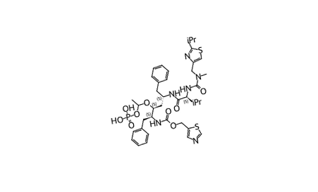 CC(O[C@@H](C[C@H](Cc1ccccc1)NC(=O)[C@@H](NC(=O)N(C)Cc1csc(C(C)C)n1)C(C)C)[C@H](Cc1ccccc1)NC(=O)OCc1cncs1)OP(=O)(O)O